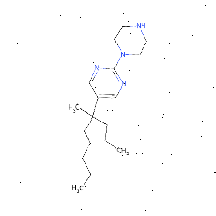 CCCCCC(C)(CCC)c1cnc(N2CCNCC2)nc1